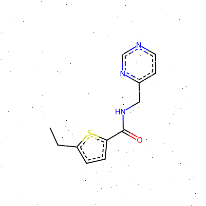 CCc1ccc(C(=O)NCc2ccncn2)s1